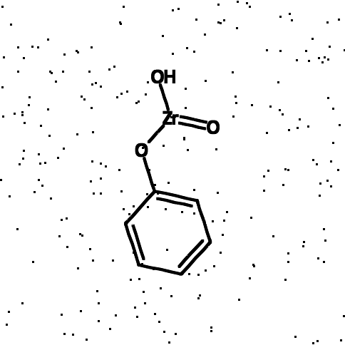 [O]=[Zr]([OH])[O]c1ccccc1